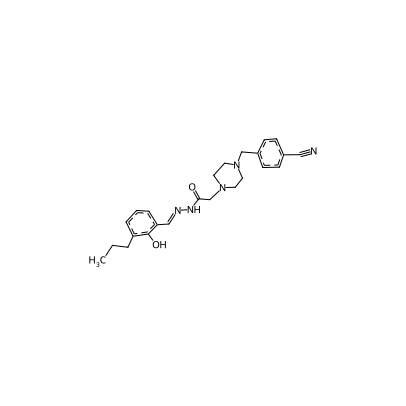 CCCc1cccc(/C=N/NC(=O)CN2CCN(Cc3ccc(C#N)cc3)CC2)c1O